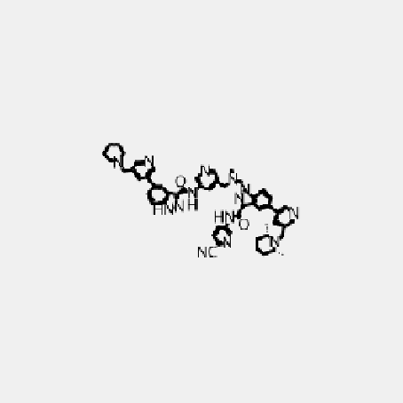 C[C@@H]1CCC[C@H](C)N1Cc1cncc(-c2ccc3c(c2)c(C(=O)Nc2ccc(C#N)nc2)nn3CN(C)Cc2cncc(NC(=O)c3n[nH]c4ccc(-c5cncc(CN6CCCCC6)c5)cc34)c2)c1